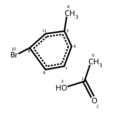 CC(=O)O.Cc1cccc(Br)c1